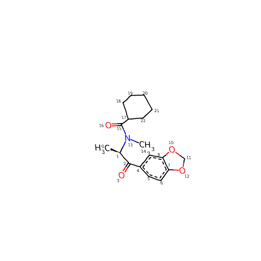 C[C@H](C(=O)c1ccc2c(c1)OCO2)N(C)C(=O)C1CCCCC1